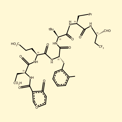 Cc1ccccc1C[C@H](NC(=O)[C@H](CCC(=O)O)NC(=O)[C@H](CC(=O)O)NC(=O)c1coccc1=O)C(=O)N[C@H](C(=O)N[C@@H](CC(C)C)C(=O)N[C@H](C=O)CC(F)(F)F)C(C)(C)C